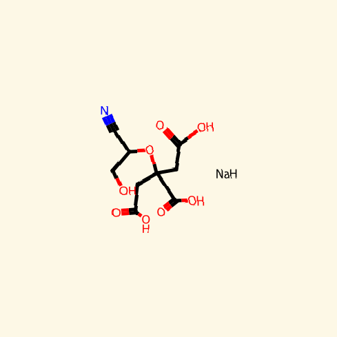 N#CC(CO)OC(CC(=O)O)(CC(=O)O)C(=O)O.[NaH]